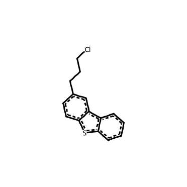 ClCCCc1ccc2sc3ccccc3c2c1